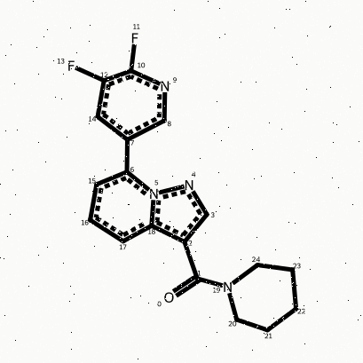 O=C(c1cnn2c(-c3cnc(F)c(F)c3)cccc12)N1CCCCC1